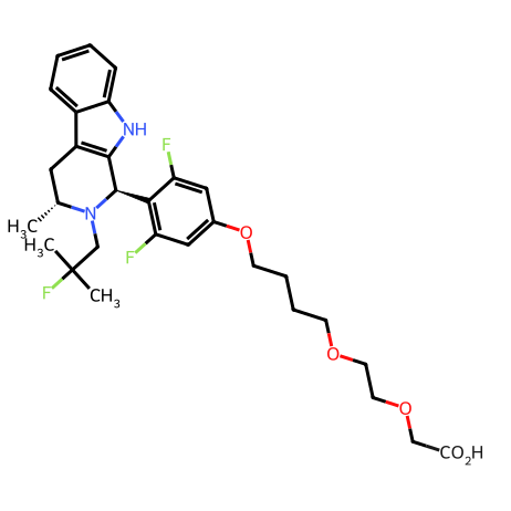 C[C@@H]1Cc2c([nH]c3ccccc23)[C@@H](c2c(F)cc(OCCCCOCCOCC(=O)O)cc2F)N1CC(C)(C)F